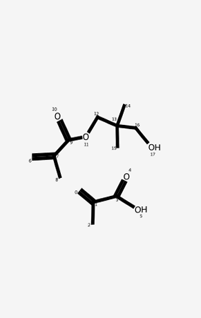 C=C(C)C(=O)O.C=C(C)C(=O)OCC(C)(C)CO